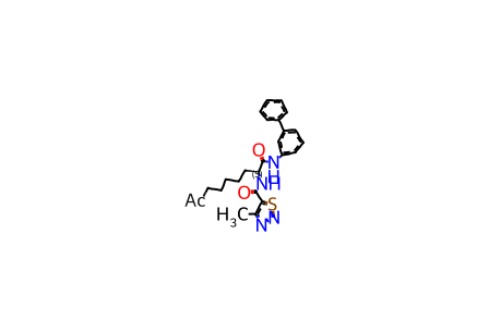 CC(=O)CCCCC[C@H](NC(=O)c1snnc1C)C(=O)Nc1cccc(-c2ccccc2)c1